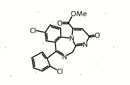 COC(=O)c1cc(=O)nc2n1-c1ccc(Cl)cc1C(c1ccccc1Cl)=NC2